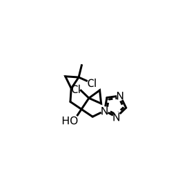 CC1(Cl)CC1CC(O)(Cn1cncn1)C1(Cl)CC1